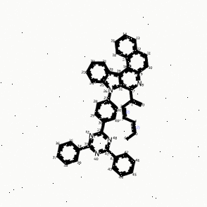 C=C(/C=C\C=C/C)c1nc2ccc3ccccc3c2c2c3ccccc3n(-c3ccc(-c4nc(-c5ccccc5)nc(-c5ccccc5)n4)cc3)c12